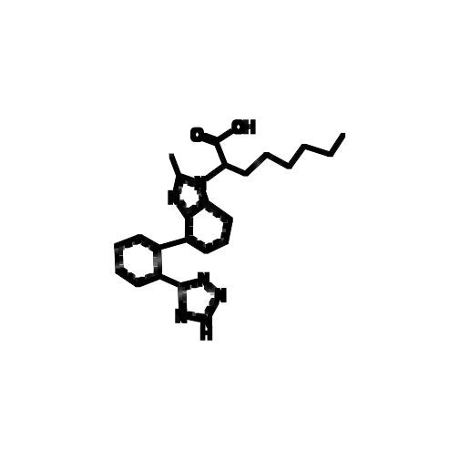 CCCCCCC(C(=O)O)n1c(C)nc2c(-c3ccccc3-c3nn[nH]n3)cccc21